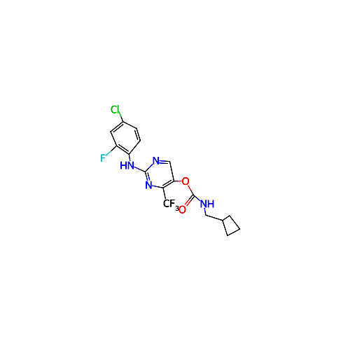 O=C(NCC1CCC1)Oc1cnc(Nc2ccc(Cl)cc2F)nc1C(F)(F)F